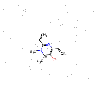 C=CC1=NC(C=C)=C(O)[C@H](C)N1C